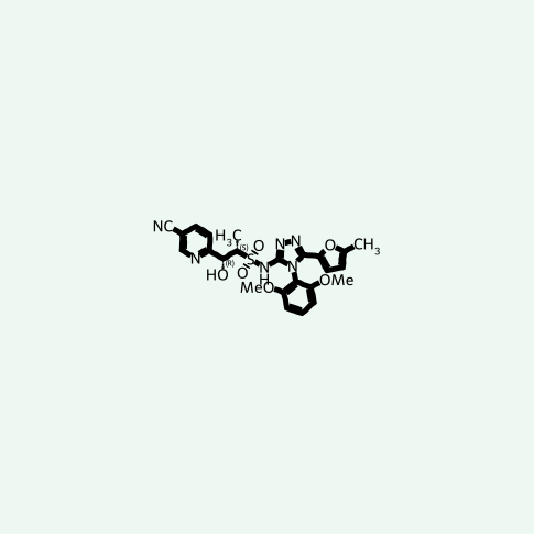 COc1cccc(OC)c1-n1c(NS(=O)(=O)[C@@H](C)[C@H](O)c2ccc(C#N)cn2)nnc1-c1ccc(C)o1